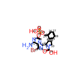 Nc1nccn2c([C@@H]3CCCN3C(=O)O)nc(Br)c12.O=S(=O)(O)OCc1ccccc1